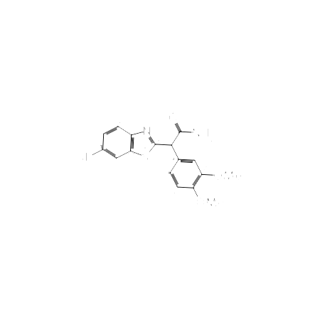 COc1ccc(C(C(N)=O)c2nc3ccc(F)cc3s2)cc1OC